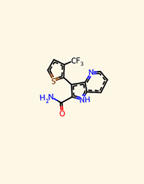 NC(=O)c1[nH]c2cccnc2c1-c1sccc1C(F)(F)F